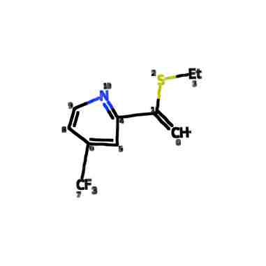 [CH]=C(SCC)c1cc(C(F)(F)F)ccn1